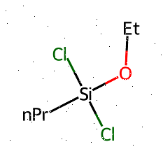 CCC[Si](Cl)(Cl)OCC